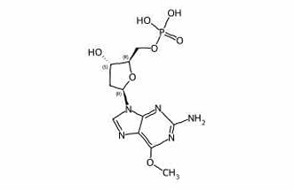 COc1nc(N)nc2c1ncn2[C@H]1C[C@H](O)[C@@H](COP(=O)(O)O)O1